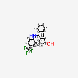 O[C@@H]1C[C@@H]2[C@@H](c3ccccc3)Nc3ccc(C(F)(F)F)cc3[C@@H]2C1